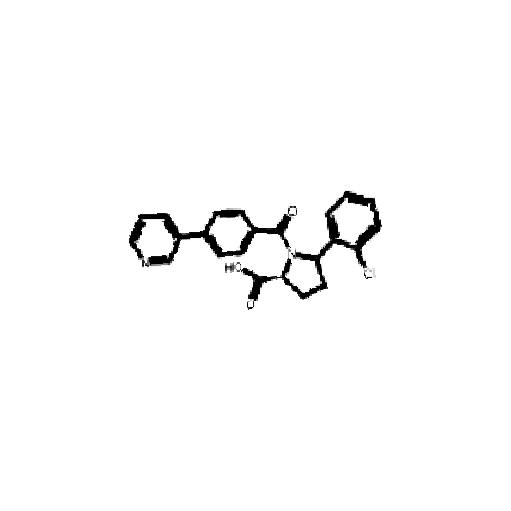 O=C(O)[C@@H]1CCC(c2ccccc2Cl)N1C(=O)c1ccc(-c2cccnc2)cc1